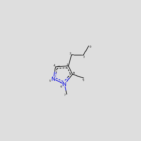 CCCc1cnn(C)c1C